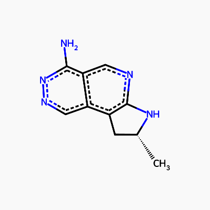 C[C@@H]1Cc2c(ncc3c(N)nncc23)N1